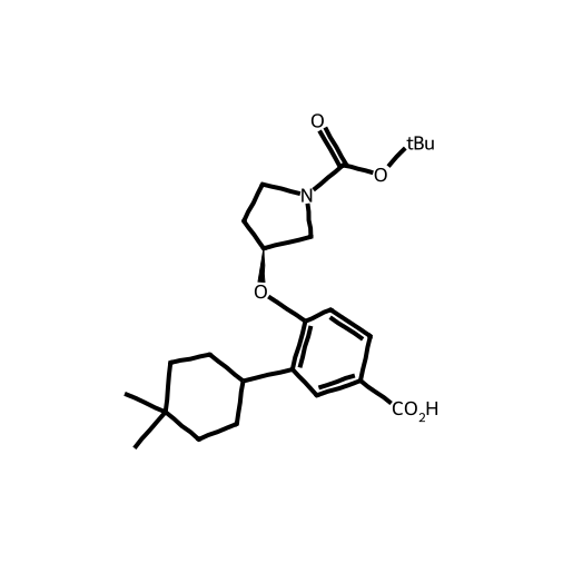 CC1(C)CCC(c2cc(C(=O)O)ccc2O[C@H]2CCN(C(=O)OC(C)(C)C)C2)CC1